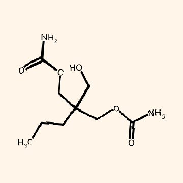 CCCC(CO)(COC(N)=O)COC(N)=O